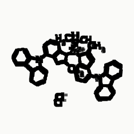 CC1=Cc2c(cccc2-n2c3ccccc3c3ccccc32)[CH]1[Zr+2]([CH]1C(C)=Cc2c1cccc2-n1c2ccccc2c2ccccc21)[SiH](C)C.[Cl-].[Cl-]